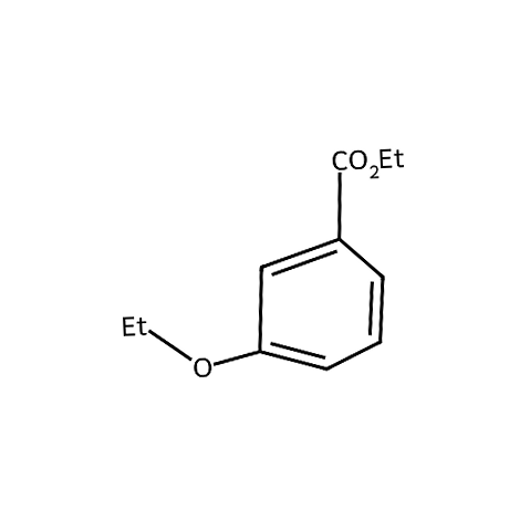 CCOC(=O)c1cccc(OCC)c1